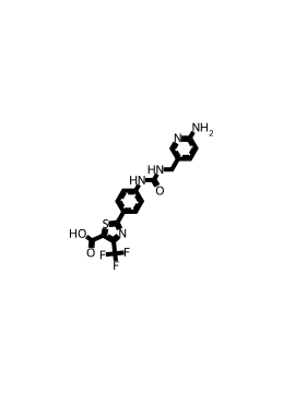 Nc1ccc(CNC(=O)Nc2ccc(-c3nc(C(F)(F)F)c(C(=O)O)s3)cc2)cn1